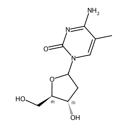 Cc1cn([C]2C[C@H](O)[C@@H](CO)O2)c(=O)nc1N